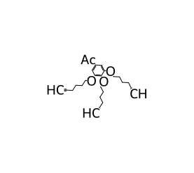 C#CCCCCOc1cc(C(C)=O)cc(OCCCCC#C)c1OCCCCC#C